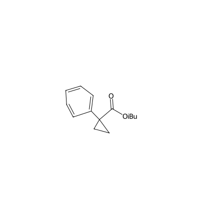 CC(C)COC(=O)C1(c2ccccc2)CC1